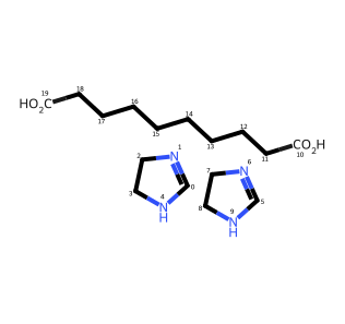 C1=NCCN1.C1=NCCN1.O=C(O)CCCCCCCCC(=O)O